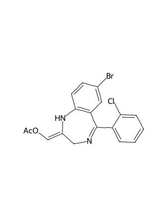 CC(=O)OC=C1CN=C(c2ccccc2Cl)c2cc(Br)ccc2N1